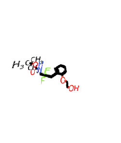 CC(C)(C)OC(=O)NCC(F)(F)Cc1ccccc1OCCO